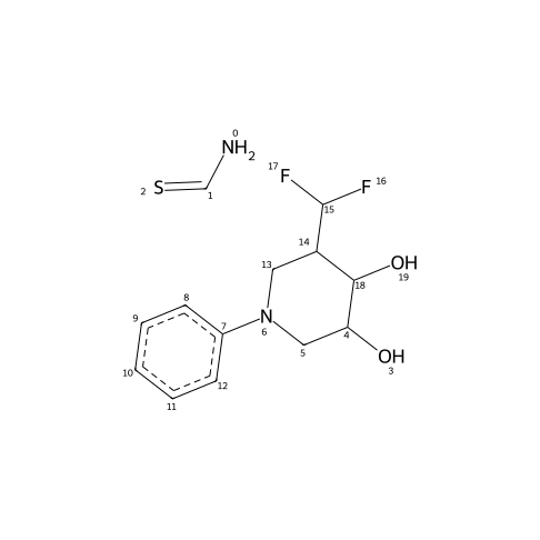 NC=S.OC1CN(c2ccccc2)CC(C(F)F)C1O